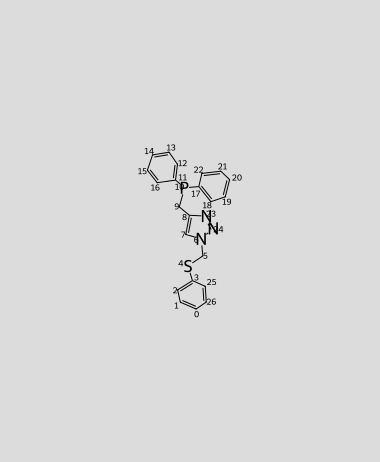 c1ccc(SCn2cc(CP(c3ccccc3)c3ccccc3)nn2)cc1